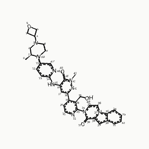 C[C@H]1CN(C2COC2)CCN1c1ccc(Nc2cc(-c3ccnc(-n4ccn5c(cc6ccccc65)c4=O)c3CO)nn(C)c2=O)nc1